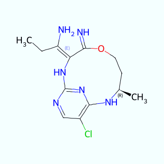 CC/C(N)=C1\Nc2ncc(Cl)c(n2)N[C@H](C)CCOC1=N